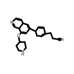 N#CCCC1=CCC(C2=CC3C=CN=CC3C(OC3CCNCC3)=C2)C=C1